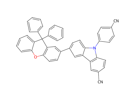 N#Cc1ccc(-n2c3ccc(C#N)cc3c3cc(-c4ccc5c(c4)C(c4ccccc4)(c4ccccc4)c4ccccc4O5)ccc32)cc1